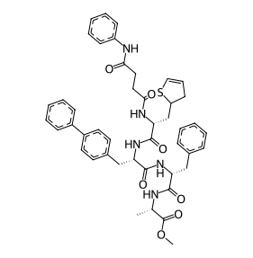 COC(=O)[C@H](C)NC(=O)[C@@H](Cc1ccccc1)NC(=O)[C@H](Cc1ccc(-c2ccccc2)cc1)NC(=O)[C@@H](CC1CC=CS1)NC(=O)CCC(=O)Nc1ccccc1